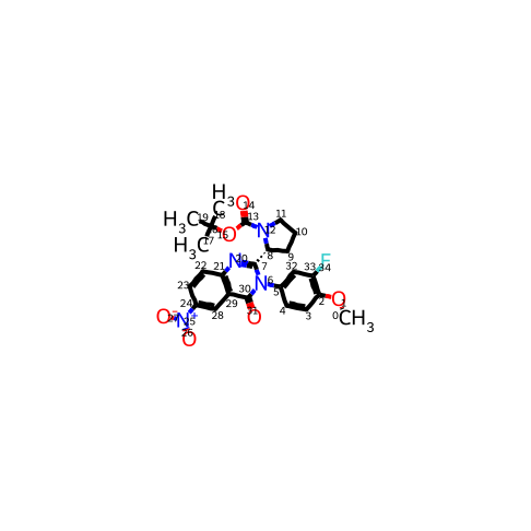 COc1ccc(-n2c([C@H]3CCCN3C(=O)OC(C)(C)C)nc3ccc([N+](=O)[O-])cc3c2=O)cc1F